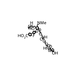 CNCCc1cc(OCCOCCNC(=O)COCCOCC(=O)NC(C(=O)N2CC[C@@H](O)C2)C(C)(C)C)c(Oc2ccc(-c3ccc(C(=O)O)cc3)c(F)c2)cc1CC(=O)Nc1nccs1